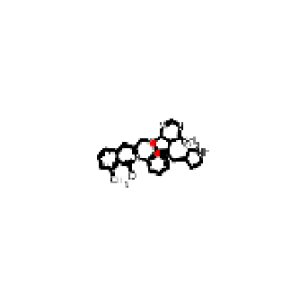 Cc1cccc2cc(CN3N=C(/C=C4/CCNC4=O)C4C(N)=NC=NC43)n(-c3ccccc3F)c(=O)c12